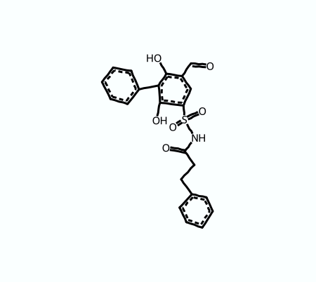 O=Cc1cc(S(=O)(=O)NC(=O)CCc2ccccc2)c(O)c(-c2ccccc2)c1O